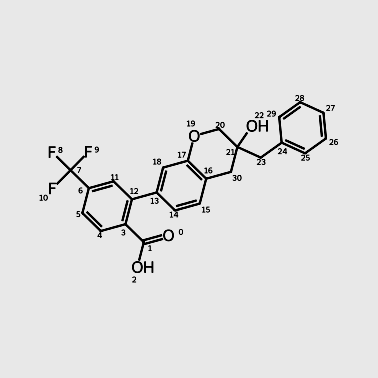 O=C(O)c1ccc(C(F)(F)F)cc1-c1ccc2c(c1)OCC(O)(Cc1ccccc1)C2